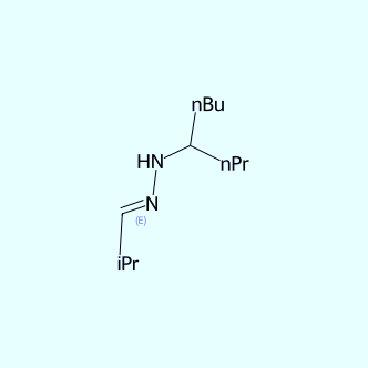 CCCCC(CCC)N/N=C/C(C)C